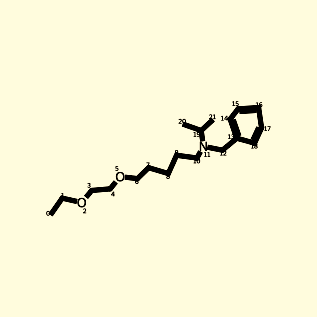 CCOCCOCCCCCN(Cc1ccccc1)C(C)C